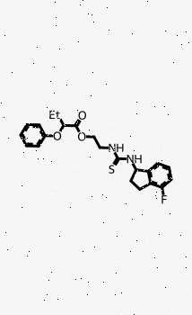 CCC(Oc1ccccc1)C(=O)OCCNC(=S)NC1CCc2c(F)cccc21